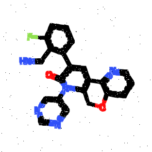 N=Cc1c(F)cccc1-c1cc2c(n(-c3cncnc3)c1=O)COc1cccnc1-2